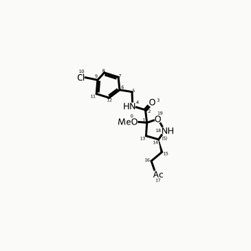 COC1(C(=O)NCc2ccc(Cl)cc2)C[C@H](CCC(C)=O)NO1